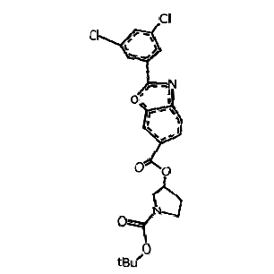 CC(C)(C)OC(=O)N1CCC(OC(=O)c2ccc3nc(-c4cc(Cl)cc(Cl)c4)oc3c2)C1